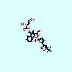 CN(CCO)C(=O)OCC1(c2ccccc2)CC1(NS(=O)(=O)c1ccc(-c2cc(C(F)(F)F)on2)s1)C(=O)O